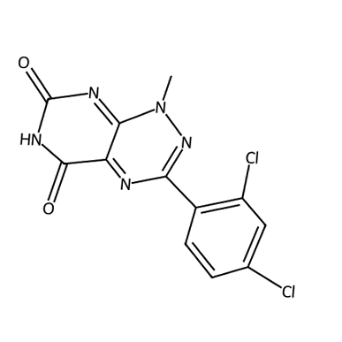 Cn1nc(-c2ccc(Cl)cc2Cl)nc2c(=O)[nH]c(=O)nc1-2